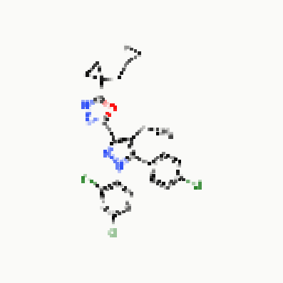 CCc1c(-c2nnc(C3(CC4CC4)CC3)o2)nn(-c2ccc(Cl)cc2Cl)c1-c1ccc(Cl)cc1